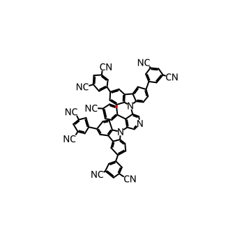 N#Cc1ccc(-c2c(-n3c4ccc(-c5cc(C#N)cc(C#N)c5)cc4c4cc(-c5cc(C#N)cc(C#N)c5)ccc43)cncc2-n2c3ccc(-c4cc(C#N)cc(C#N)c4)cc3c3cc(-c4cc(C#N)cc(C#N)c4)ccc32)cc1